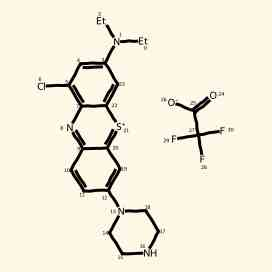 CCN(CC)c1cc(Cl)c2nc3ccc(N4CCNCC4)cc3[s+]c2c1.O=C([O-])C(F)(F)F